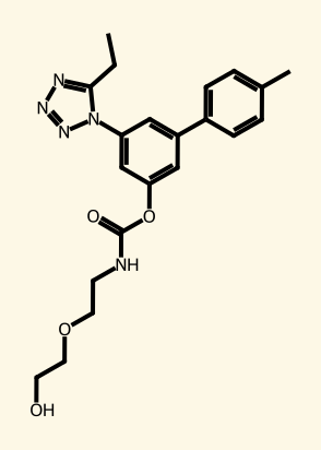 CCc1nnnn1-c1cc(OC(=O)NCCOCCO)cc(-c2ccc(C)cc2)c1